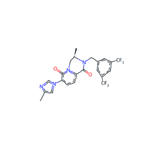 Cc1cn(-c2ccc3n(c2=O)C[C@@H](C)N(Cc2cc(C(F)(F)F)cc(C(F)(F)F)c2)C3=O)cn1